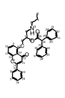 CCCNCC(COc1cccc2oc(-c3ccccc3)cc(=O)c12)OC(=O)C(c1ccccc1)c1ccccc1